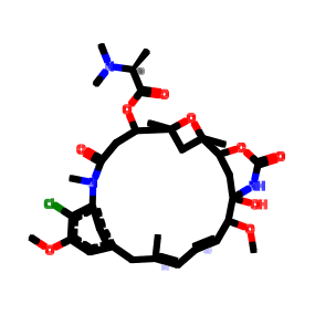 COc1cc2cc(c1Cl)N(C)C(=O)CC(OC(=O)[C@H](C)N(C)C)C1(C)CC(C)(O1)C1CC(O)(NC(=O)O1)C(OC)/C=C/C=C(\C)C2